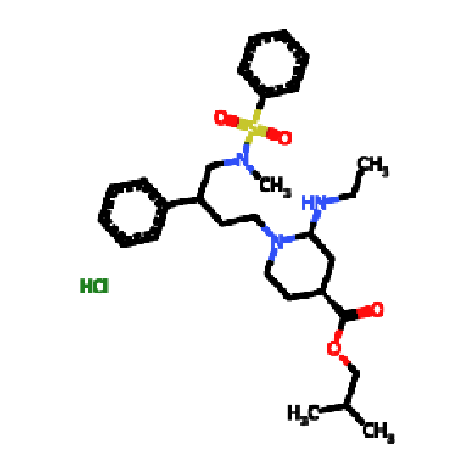 CCN[C@H]1C[C@@H](C(=O)OCC(C)C)CCN1CCC(CN(C)S(=O)(=O)c1ccccc1)c1ccccc1.Cl